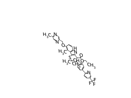 CCOC(=O)C(Cc1ccc(-c2ccc(C(F)(F)F)cn2)cc1)c1[nH]c2ccc(OCc3cnc(C)cn3)c(C)c2c1SC(C)(C)C